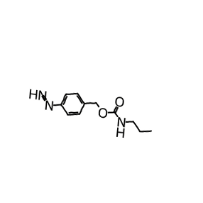 CCCNC(=O)OCc1ccc(N=N)cc1